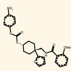 COc1ccccc1C(=O)NC[C@]1(c2cccs2)CC[C@@H](OC(=O)Oc2ccc([N+](=O)[O-])cc2)CC1